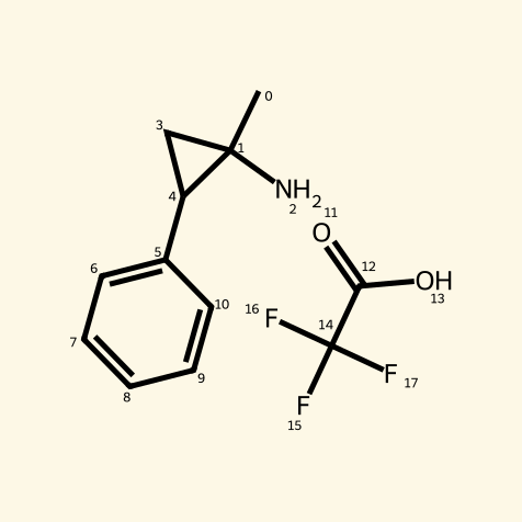 CC1(N)CC1c1ccccc1.O=C(O)C(F)(F)F